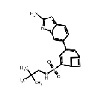 CC(C)(C)CNS(=O)(=O)C1=CC(c2ccc3nc(N)nn3c2)=CC2=CC1C2